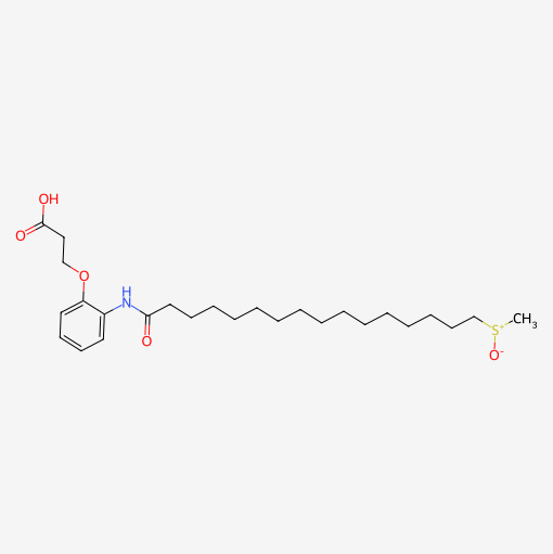 C[S+]([O-])CCCCCCCCCCCCCCCC(=O)Nc1ccccc1OCCC(=O)O